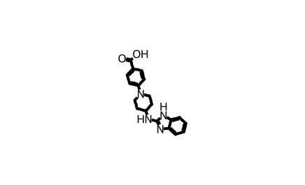 O=C(O)c1ccc(N2CCC(Nc3nc4ccccc4[nH]3)CC2)cc1